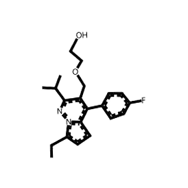 CCc1ccc2c(-c3ccc(F)cc3)c(COCCO)c(C(C)C)nn12